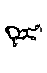 CC1=CC23CCC=CC2=CC=C[N+]([O-])=C3C=C1Cl